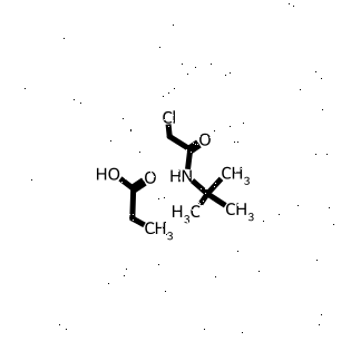 CC(C)(C)NC(=O)CCl.CCC(=O)O